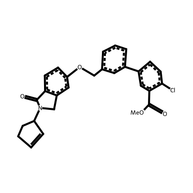 COC(=O)c1cc(-c2cccc(COc3ccc4c(c3)CN(C3C=CCC3)C4=O)c2)ccc1Cl